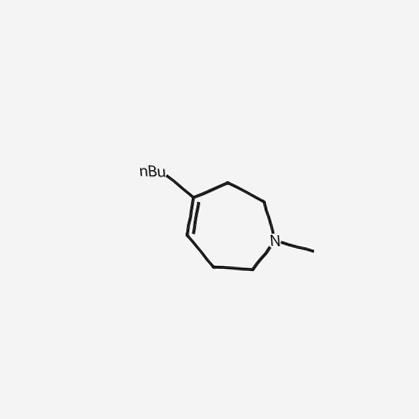 CCCCC1=CCCN(C)CC1